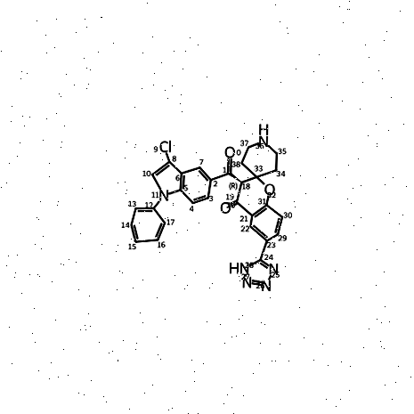 O=C(c1ccc2c(c1)c(Cl)cn2-c1ccccc1)[C@@H]1C(=O)c2cc(-c3nnn[nH]3)ccc2OC12CCNCC2